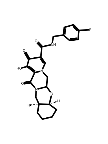 O=C(NCc1ccc(F)cc1)c1cn2c(c(O)c1=O)C(=O)N1C[C@@H]3CCCC[C@@H]3OC1C2